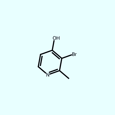 Cc1nccc(O)c1Br